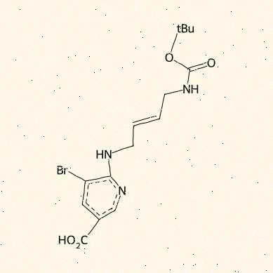 CC(C)(C)OC(=O)NCC=CCNc1ncc(C(=O)O)cc1Br